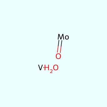 O.[O]=[Mo].[V]